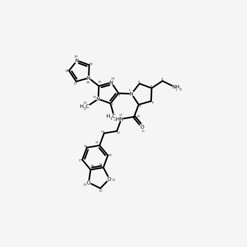 Cc1c(N2CC(CN)CC2C(=O)NCCc2ccc3c(c2)OCO3)nc(-n2ccnc2)n1C